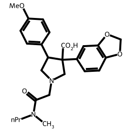 CCCN(C)C(=O)CN1CC(c2ccc(OC)cc2)C(C(=O)O)(c2ccc3c(c2)OCO3)C1